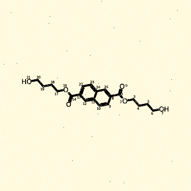 O=C(OCCCCO)c1ccc2cc(C(=O)OCCCCO)ccc2c1